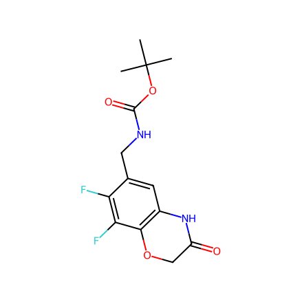 CC(C)(C)OC(=O)NCc1cc2c(c(F)c1F)OCC(=O)N2